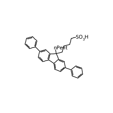 CCCCCC1(CCCCS(=O)(=O)O)c2cc(-c3ccccc3)ccc2-c2ccc(-c3ccccc3)cc21